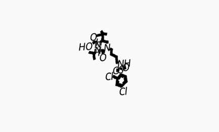 CC(C)NC(=O)N(CCCCNS(=O)(=O)c1ccc(Cl)cc1Cl)CC(NC(=O)O)C(C)(C)C